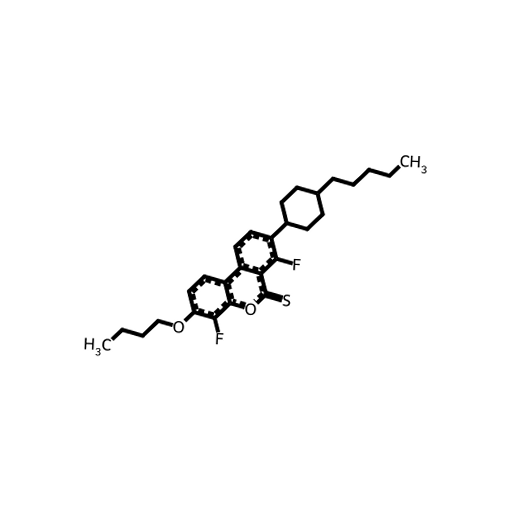 CCCCCC1CCC(c2ccc3c(c2F)c(=S)oc2c(F)c(OCCCC)ccc23)CC1